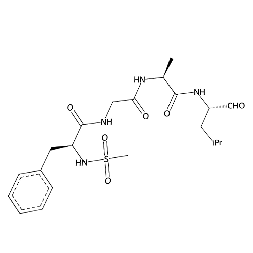 CC(C)C[C@@H](C=O)NC(=O)[C@H](C)NC(=O)CNC(=O)[C@H](Cc1ccccc1)NS(C)(=O)=O